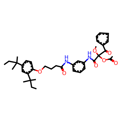 CCC(C)(C)c1ccc(OCCCC(=O)Nc2cccc(NC(=O)C(OC)(OC(C)=O)C(=O)c3ccccc3)c2)c(C(C)(C)CC)c1